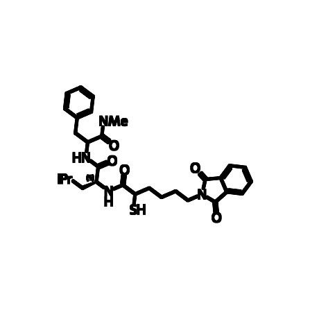 CNC(=O)C(Cc1ccccc1)NC(=O)[C@H](CC(C)C)NC(=O)C(S)CCCCN1C(=O)c2ccccc2C1=O